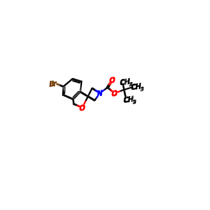 CC(C)(C)OC(=O)N1CC2(C1)OCc1cc(Br)ccc12